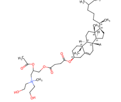 CC(=O)OC(COC(=O)CCC(=O)O[C@H]1CC[C@@]2(C)C(=CC[C@H]3[C@@H]4CC[C@H]([C@H](C)CCCC(C)C)[C@@]4(C)CC[C@@H]32)C1)C[N+](C)(CCO)CCO